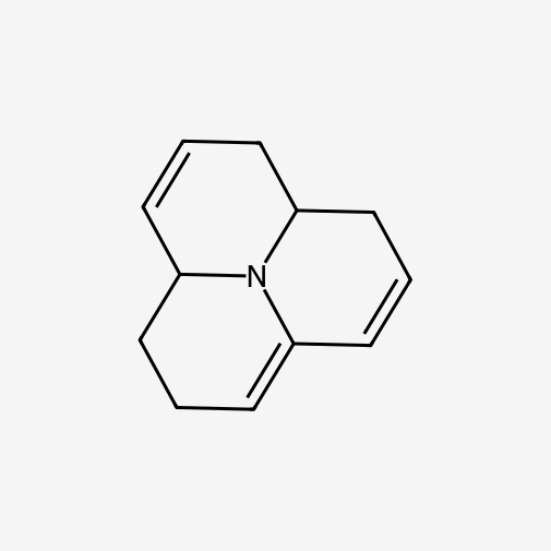 C1=CC2=CCCC3C=CCC(C1)N23